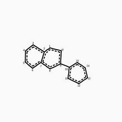 [c]1cc2ccccc2cc1-c1ccccc1